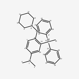 CN(C)c1ccc(CN2CCCCC2)c([PH](C)(c2ccccc2)c2ccccc2)c1